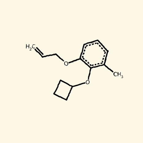 C=CCOc1cccc(C)c1OC1CCC1